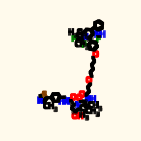 Cc1ncsc1-c1ccc(CNC(=O)[C@@H]2C[C@@H](O)CN2C(=O)[C@@H](NC(=O)CCCOCCCCCCOc2cc(F)c([C@@H]3c4[nH]c5ccccc5c4C[C@@H](C)N3CC(C)(C)F)c(F)c2)C(C)(C)C)cc1